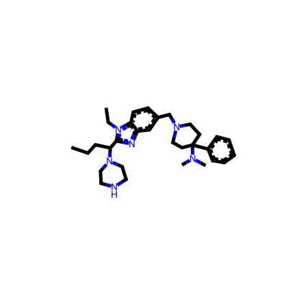 CCCC(c1nc2cc(CN3CCC(c4ccccc4)(N(C)C)CC3)ccc2n1CC)N1CCNCC1